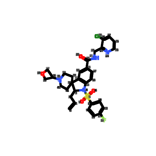 C=CCC1N(S(=O)(=O)c2ccc(F)cc2)c2ccc(C(=O)NCc3ncccc3Cl)cc2C12CCN(C1COC1)CC2